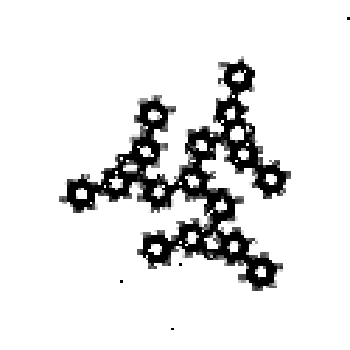 c1ccc(-c2ccc3c(c2)Oc2cc(-c4ccccc4)ccc2N3c2ccnc(-c3cc(-c4nccc(N5c6ccc(-c7ccccc7)cc6Oc6cc(-c7ccccc7)ccc65)n4)cc(-c4nccc(N5c6ccc(-c7ccccc7)cc6Oc6cc(-c7ccccc7)ccc65)n4)c3)n2)cc1